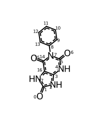 O=c1[nH]c2[nH]c(=O)n(-c3ccccc3)c(=O)c2[nH]1